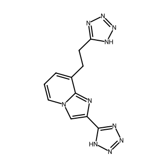 c1cc(CCc2nnn[nH]2)c2nc(-c3nnn[nH]3)cn2c1